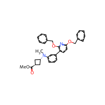 COC(=O)[C@H]1C[C@H](N(C)c2cccc(-c3ccc(OCc4ccccc4)nc3OCc3ccccc3)c2)C1